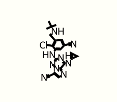 CC(C)(C)NCc1cc(C#N)cc(Nc2nc(NC3CC3)c3ncc(C#N)n3n2)c1Cl